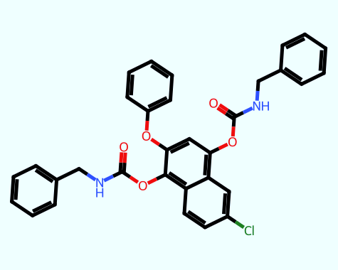 O=C(NCc1ccccc1)Oc1cc(Oc2ccccc2)c(OC(=O)NCc2ccccc2)c2ccc(Cl)cc12